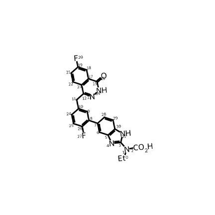 CCN(C(=O)O)c1nc2cc(-c3cc(Cc4n[nH]c(=O)c5cc(F)ccc45)ccc3F)ccc2[nH]1